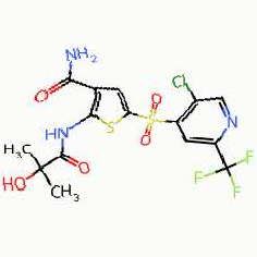 CC(C)(O)C(=O)Nc1sc(S(=O)(=O)c2cc(C(F)(F)F)ncc2Cl)cc1C(N)=O